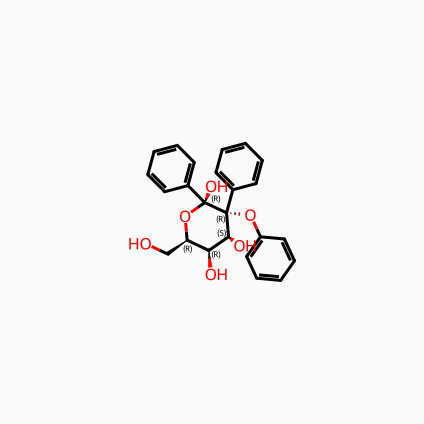 OC[C@H]1O[C@](O)(c2ccccc2)[C@@](Oc2ccccc2)(c2ccccc2)[C@@H](O)[C@H]1O